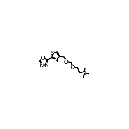 C[Si](C)(C)CCOCOCc1csc(-c2nnco2)n1